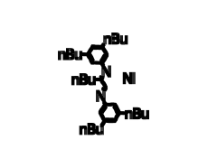 CCCCC(/C=N/c1cc(CCCC)cc(CCCC)c1)=N\c1cc(CCCC)cc(CCCC)c1.[Ni]